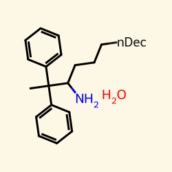 CCCCCCCCCCCCCC(N)C(C)(c1ccccc1)c1ccccc1.O